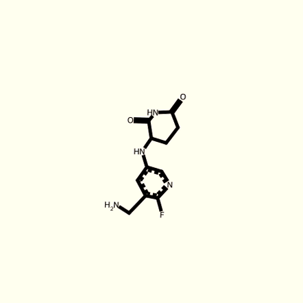 NCc1cc(NC2CCC(=O)NC2=O)cnc1F